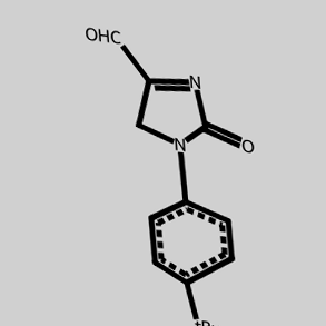 CC(C)(C)c1ccc(N2CC(C=O)=NC2=O)cc1